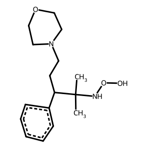 CC(C)(NOO)C(CCN1CCOCC1)c1ccccc1